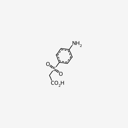 Nc1ccc(S(=O)(=O)CC(=O)O)cc1